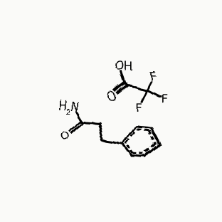 NC(=O)CCc1ccccc1.O=C(O)C(F)(F)F